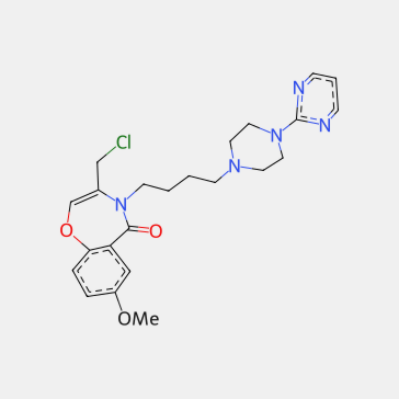 COc1ccc2c(c1)C(=O)N(CCCCN1CCN(c3ncccn3)CC1)C(CCl)=CO2